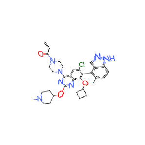 C=CC(=O)N1CCN(c2nc(OC3CCN(C)CC3)nc3c(OC4CCC4)c(-c4c(C)ccc5[nH]ncc45)c(Cl)cc23)CC1